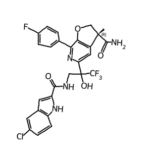 C[C@]1(C(N)=O)COc2c1cc(C(O)(CNC(=O)c1cc3cc(Cl)ccc3[nH]1)C(F)(F)F)nc2-c1ccc(F)cc1